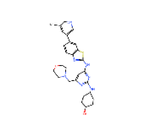 N#Cc1cncc(-c2ccc3nc(Nc4cc(CN5CCOCC5)nc(N[C@H]5CC[C@H](O)CC5)n4)sc3c2)c1